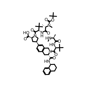 CN[C@@H](C)C(=O)N[C@H](C(=O)N1Cc2cc([C@H]3C[C@@H](C(=O)O)N(C(=O)[C@@H](NC(=O)[C@H](C)N(C)C(=O)OC(C)(C)C)C(C)(C)C)C3)ccc2C[C@H]1C(=O)N[C@@H]1CCCc2ccccc21)C(C)(C)C